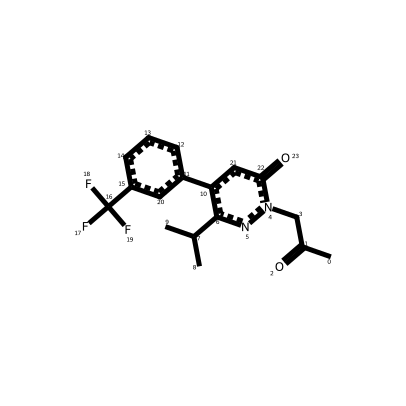 CC(=O)Cn1nc(C(C)C)c(-c2cccc(C(F)(F)F)c2)cc1=O